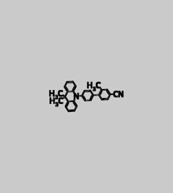 Cc1cc(C#N)ccc1-c1ccc(N2c3ccccc3C(C)(C)c3ccccc32)cc1